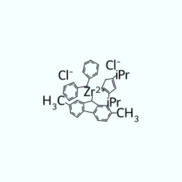 Cc1ccc2c(c1)[CH]([Zr+2]([C]1=C(C(C)C)C=C(C(C)C)C1)=[C](c1ccccc1)c1ccccc1)c1cc(C)ccc1-2.[Cl-].[Cl-]